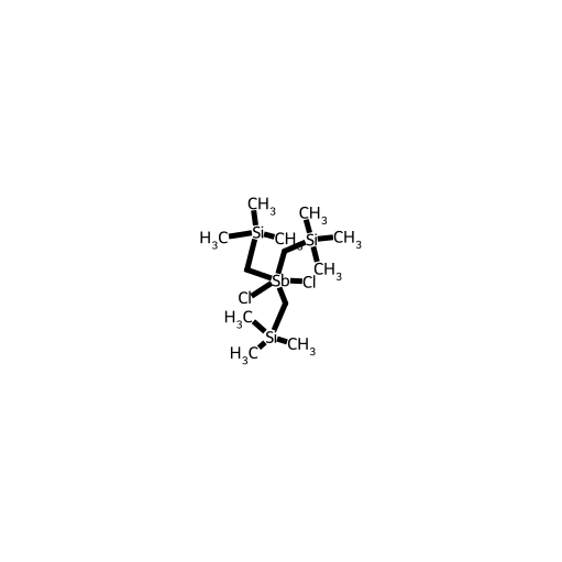 C[Si](C)(C)[CH2][Sb]([Cl])([Cl])([CH2][Si](C)(C)C)[CH2][Si](C)(C)C